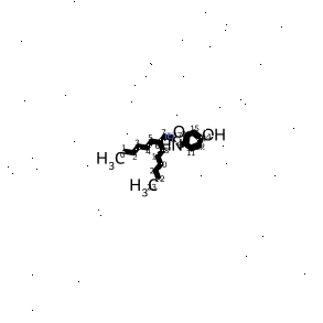 CCCCCCC(/C=C1\Nc2ccc(O)cc2O1)CCCCCC